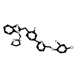 Fc1cc(-c2cccc(COc3ccc(Cl)cc3F)n2)ccc1Cc1nc2ccccc2n1C[C@H]1CCCO1